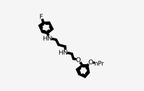 CCCOc1ccccc1OCCNCCCNc1ccc(F)cc1